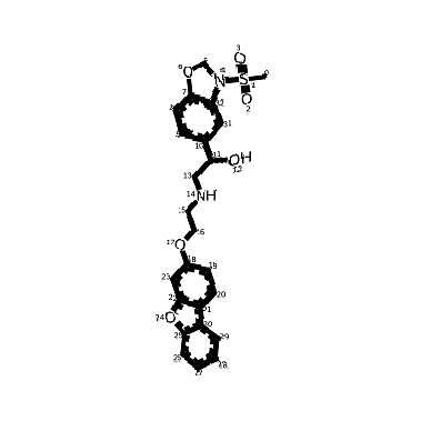 CS(=O)(=O)N1COc2ccc(C(O)CNCCOc3ccc4c(c3)oc3ccccc34)cc21